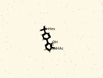 CCCCCCC(C)(C)c1ccc(-c2cccc(NC(C)=O)c2O)cc1